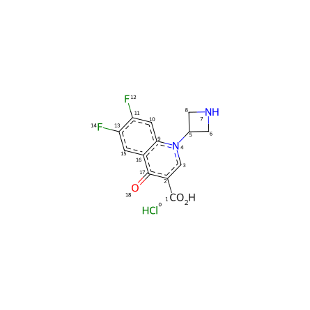 Cl.O=C(O)c1cn(C2CNC2)c2cc(F)c(F)cc2c1=O